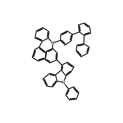 c1ccc(-c2ccccc2-c2ccc(N(c3cccc(-c4cccc5c4c4ccccc4n5-c4ccccc4)c3)c3ccccc3-c3ccccc3)cc2)cc1